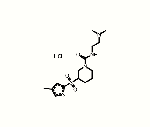 Cc1csc(S(=O)(=O)C2CCCN(C(=O)NCCN(C)C)C2)c1.Cl